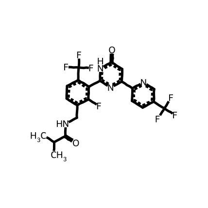 CC(C)C(=O)NCc1ccc(C(F)(F)F)c(-c2nc(-c3ccc(C(F)(F)F)cn3)cc(=O)[nH]2)c1F